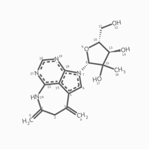 C=C1CC(=C)c2cn([C@@H]3O[C@H](CO)[C@@H](O)C3(C)O)c3ncnc(c23)N1